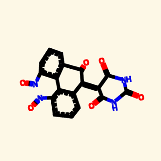 O=Nc1cccc2c1-c1c(N=O)cccc1C(=C1C(=O)NC(=O)NC1=O)C2=O